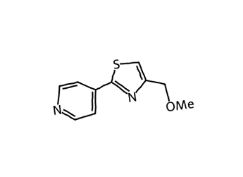 COCc1csc(-c2ccncc2)n1